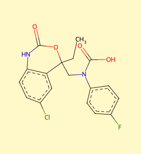 CCC1(CN(C(=O)O)c2ccc(F)cc2)OC(=O)Nc2ccc(Cl)cc21